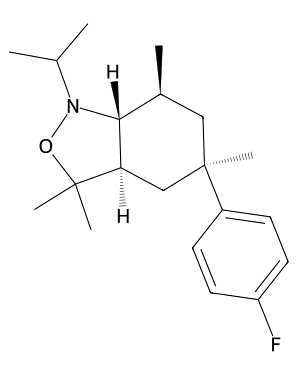 CC(C)N1OC(C)(C)[C@@H]2C[C@](C)(c3ccc(F)cc3)C[C@H](C)[C@H]21